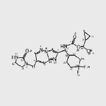 O=C(NC(c1cn2ncc(CN3CCNC3=O)cc2n1)C1CCC(F)(F)CC1)OC(C1CC1)C(F)(F)F